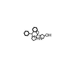 O=C([C@@H]1CC(O)CN1)N1CCC[C@H]1C(c1ccccc1)c1ccccc1